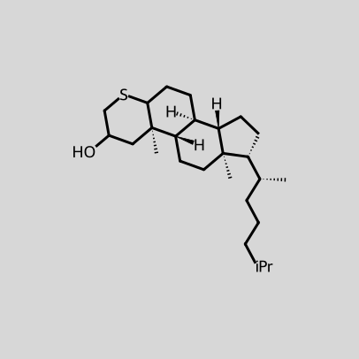 CC(C)CCC[C@@H](C)[C@H]1CC[C@H]2[C@@H]3CCC4SCC(O)C[C@]4(C)[C@H]3CC[C@]12C